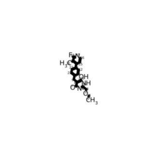 CCOCc1nc(=O)c(Cc2ccc(-c3ccnc(F)c3C)cc2)c(O)[nH]1